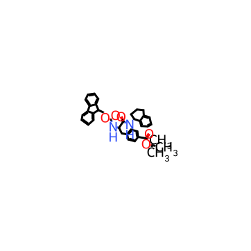 CC(C)(C)OC(=O)c1ccc(CC(NC(=O)OCC2c3ccccc3-c3ccccc32)C(=O)N[C@@H]2CCCc3ccccc32)cc1